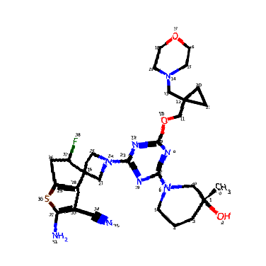 C[C@@]1(O)CCCN(c2nc(OCC3(CN4CCOCC4)CC3)nc(N3CC4(C3)c3c(sc(N)c3C#N)CC4F)n2)C1